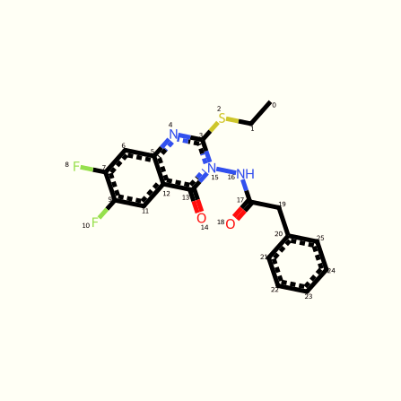 CCSc1nc2cc(F)c(F)cc2c(=O)n1NC(=O)Cc1ccccc1